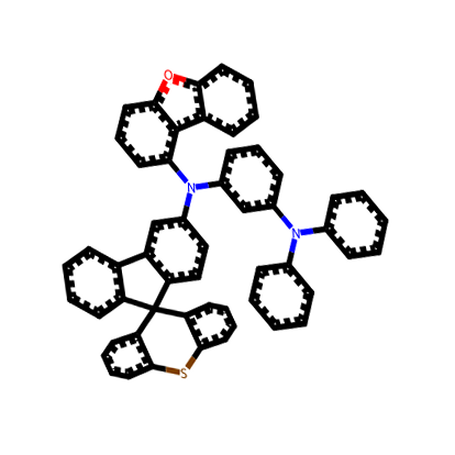 c1ccc(N(c2ccccc2)c2cccc(N(c3ccc4c(c3)-c3ccccc3C43c4ccccc4Sc4ccccc43)c3cccc4oc5ccccc5c34)c2)cc1